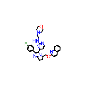 Fc1ccc(-c2nc3n(c2-c2ccnc(NCCN4CCOCC4)n2)C(COc2ccc4ccccc4n2)CC3)cc1